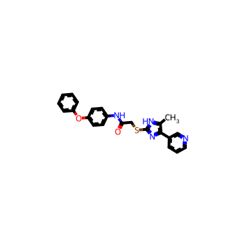 Cc1[nH]c(SCC(=O)Nc2ccc(Oc3ccccc3)cc2)nc1-c1cccnc1